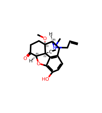 C=CC[N+]1(C)CC[C@]23c4c5ccc(O)c4O[C@H]2C(=O)CC[C@@]3(OC)[C@H]1C5